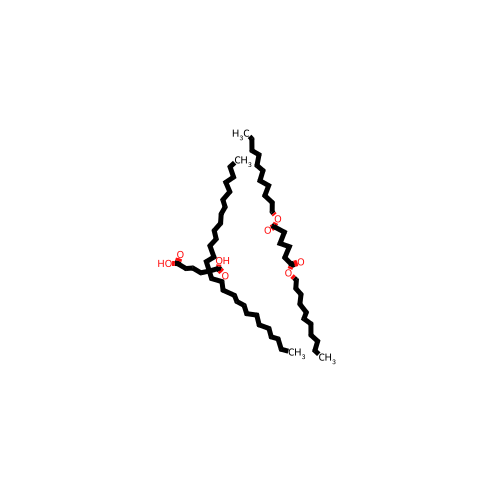 CCCCCCCCCCCCCCC(CCCCCCCCCCCCCC)(CCCC(=O)O)C(=O)O.CCCCCCCCCCCOC(=O)CCCCC(=O)OCCCCCCCCCCC